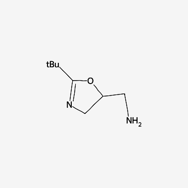 CC(C)(C)C1=NCC(CN)O1